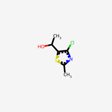 Cc1nc(Cl)c(C(C)O)s1